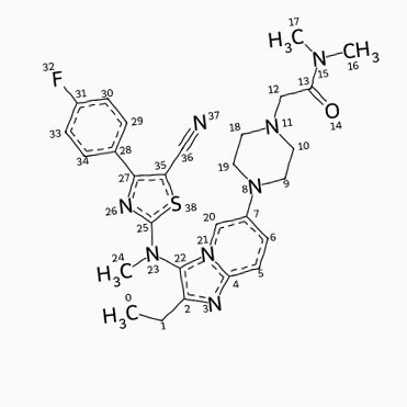 CCc1nc2ccc(N3CCN(CC(=O)N(C)C)CC3)cn2c1N(C)c1nc(-c2ccc(F)cc2)c(C#N)s1